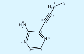 C[SiH2]C#Cc1nccnc1N